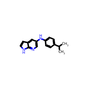 CC(C)c1ccc(Nc2cnc3[nH]ccc3c2)cc1